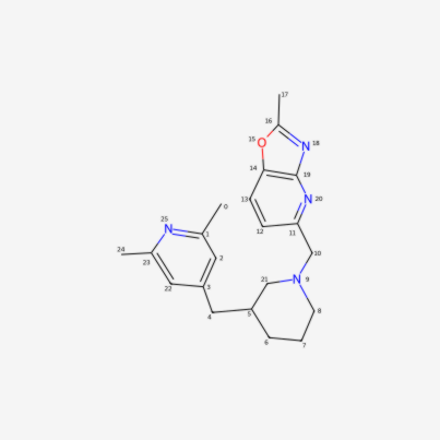 Cc1cc(CC2CCCN(Cc3ccc4oc(C)nc4n3)C2)cc(C)n1